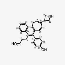 OCCC/C(=C(/C1=CCC=C(C2CNC2)C=C1)c1ccc(O)cc1)c1ccccc1